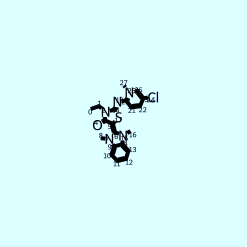 CCN1C(=O)C(=C2N(C)c3ccccc3N2C)S/C1=N\c1ccc(Cl)c[n+]1C